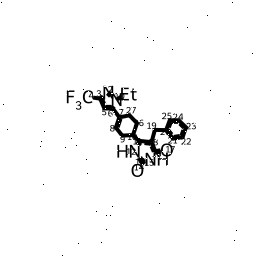 CCn1nc(C(F)(F)F)cc1C1=CCC(c2[nH]c(=O)[nH]c(=O)c2Cc2ccccc2)CC1